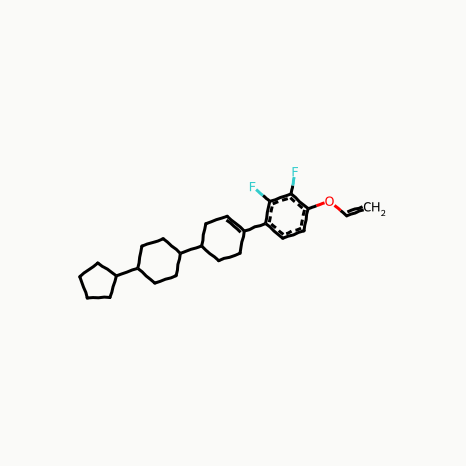 C=COc1ccc(C2=CCC(C3CCC(C4CCCC4)CC3)CC2)c(F)c1F